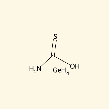 NC(O)=S.[GeH4]